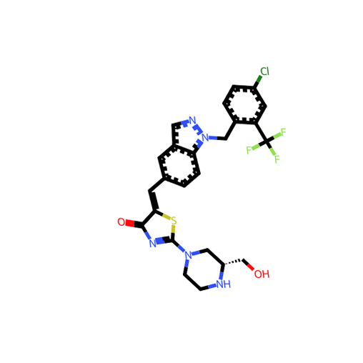 O=C1N=C(N2CCN[C@@H](CO)C2)S/C1=C\c1ccc2c(cnn2Cc2ccc(Cl)cc2C(F)(F)F)c1